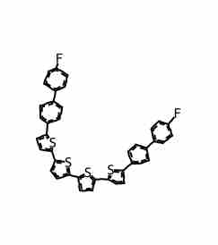 Fc1ccc(-c2ccc(-c3ccc(-c4ccc(-c5ccc(-c6ccc(-c7ccc(-c8ccc(F)cc8)cc7)s6)s5)s4)s3)cc2)cc1